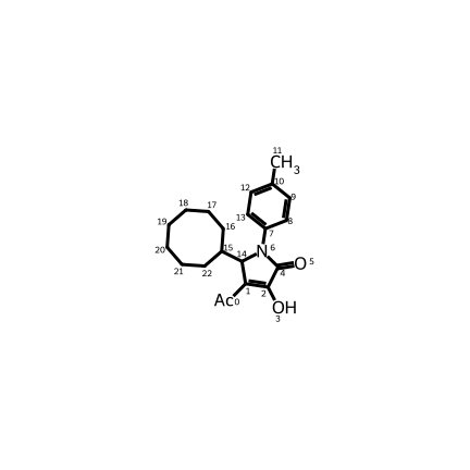 CC(=O)C1=C(O)C(=O)N(c2ccc(C)cc2)C1C1CCCCCCC1